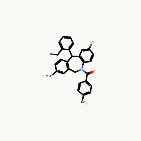 COc1ccc2c(c1)CN(C(=O)c1ccc([N+](=O)[O-])cc1)c1ccc(Cl)cc1C2c1ccccc1CI